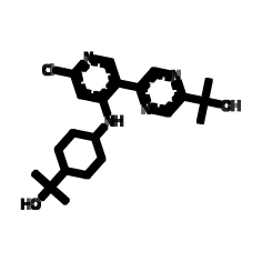 CC(C)(O)c1cnc(-c2cnc(Cl)cc2NC2CCC(C(C)(C)O)CC2)cn1